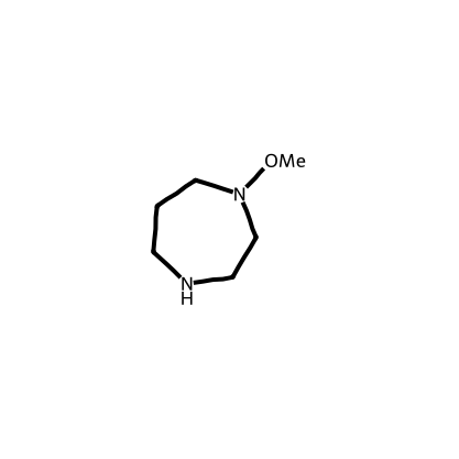 CON1CCCNCC1